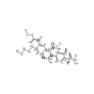 C=C(CCC)N(C)c1cc2c(N[C@H](C)c3cccc(C(F)(F)C(C)C)c3F)nc(C)nc2cc1CCCCC